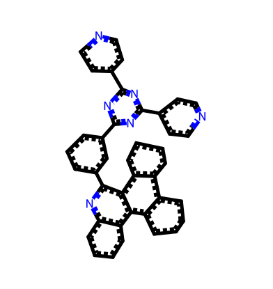 c1cc(-c2nc(-c3ccncc3)nc(-c3ccncc3)n2)cc(-c2nc3ccccc3c3c4ccccc4c4ccccc4c23)c1